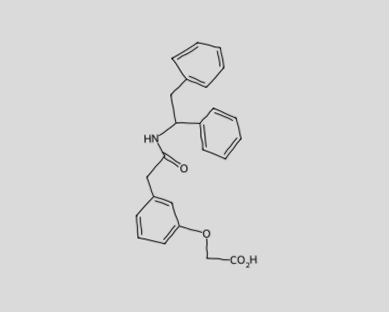 O=C(O)COc1cccc(CC(=O)NC(Cc2ccccc2)c2ccccc2)c1